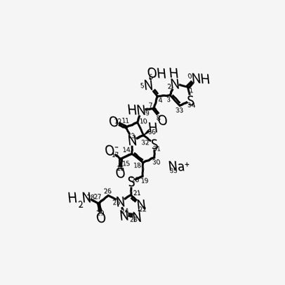 N=c1[nH]c(C(=NO)C(=O)NC2C(=O)N3C(C(=O)[O-])=C(CSc4nnnn4CC(N)=O)CS[C@@H]23)cs1.[Na+]